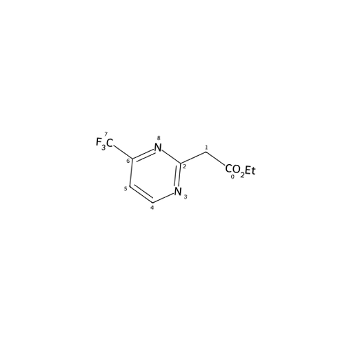 CCOC(=O)Cc1nccc(C(F)(F)F)n1